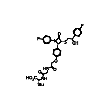 CC(C)(C)[C@@H](NC(=O)CNC(=O)COc1ccc([C@@H]2[C@@H](SC[C@H](O)c3ccc(F)cc3)C(=O)N2c2ccc(F)cc2)cc1)C(=O)O